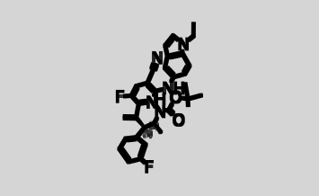 C=C(c1nc(Nc2ccc3c(ccn3CC)c2)c(C#N)cc1F)[C@H](c1cccc(F)c1)[C@H](C)NC(=O)OC(C)(C)C